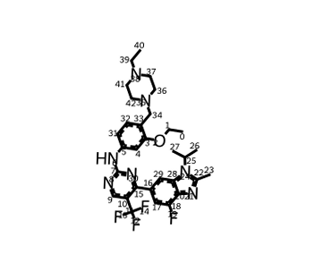 CCOc1cc(Nc2ncc(C(F)(F)F)c(-c3cc(F)c4nc(C)n(C(C)C)c4c3)n2)ccc1CN1CCN(CC)CC1